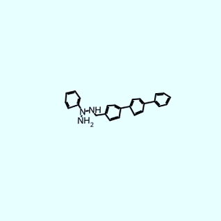 NN(NCc1ccc(-c2ccc(-c3ccccc3)cc2)cc1)c1ccccc1